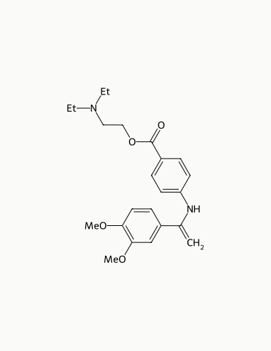 C=C(Nc1ccc(C(=O)OCCN(CC)CC)cc1)c1ccc(OC)c(OC)c1